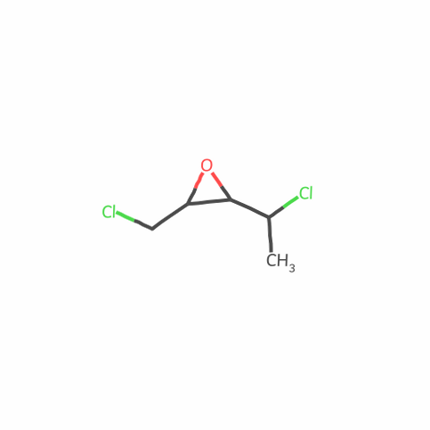 CC(Cl)C1OC1CCl